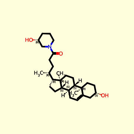 C[C@H](CCC(=O)N1CCC[C@@H](O)C1)[C@H]1CC[C@H]2[C@@H]3CC=C4C[C@@H](O)CC[C@]4(C)[C@H]3CC[C@]12C